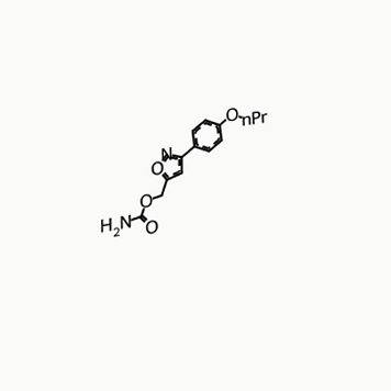 [CH2]CCOc1ccc(-c2cc(COC(N)=O)on2)cc1